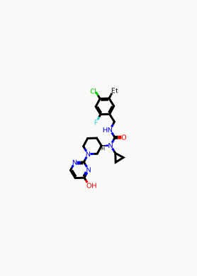 CCc1cc(CNC(=O)N(C2CC2)[C@@H]2CCCN(c3nccc(O)n3)C2)c(F)cc1Cl